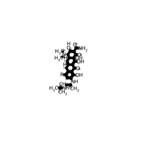 C=C(CNC(C)(C)C)Nc1cc(F)c2c(c1O)C(=O)C1=C(O)[C@]3(O)C(=O)C(C(N)=O)=C(O)[C@@H](N(C)C)[C@@H]3C[C@@H]1C2